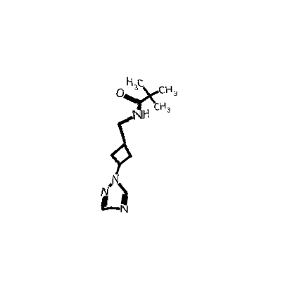 CC(C)(C)C(=O)NCC1CC(n2cncn2)C1